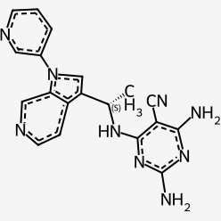 C[C@H](Nc1nc(N)nc(N)c1C#N)c1cn(-c2cccnc2)c2cnccc12